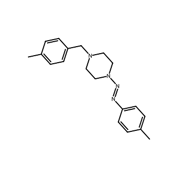 Cc1ccc(CN2CCN(N=Nc3ccc(C)cc3)CC2)cc1